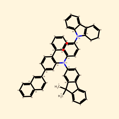 CC1(C)c2ccccc2-c2ccc(N(c3ccc(-n4c5c(c6ccccc64)C=CCC5)cc3)c3cc(-c4ccc5ccccc5c4)ccc3-c3ccccc3)cc21